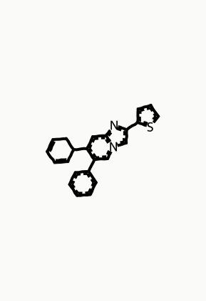 C1=CCC(c2cc3nc(-c4cccs4)cn3cc2-c2ccccc2)C=C1